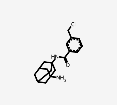 NC12CC3CC(C1)CC(NC(=O)c1cccc(CCl)c1)(C3)C2